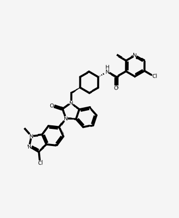 Cc1ncc(Cl)cc1C(=O)N[C@H]1CC[C@H](Cn2c(=O)n(-c3ccc4c(Cl)nn(C)c4c3)c3ccccc32)CC1